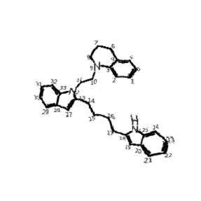 c1ccc2c(c1)CCCN2CCn1c(CCCCc2cc3ccccc3[nH]2)cc2ccccc21